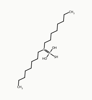 CCCCCCCCS(CCCCCCCC)=P(O)(O)S